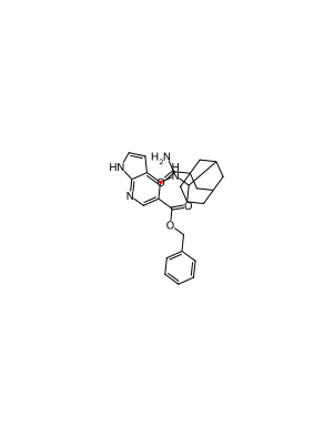 NC(=O)C12CC3CC(C1)C(Nc1c(C(=O)OCc4ccccc4)cnc4[nH]ccc14)C(C3)C2